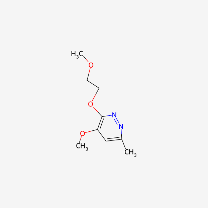 COCCOc1nnc(C)cc1OC